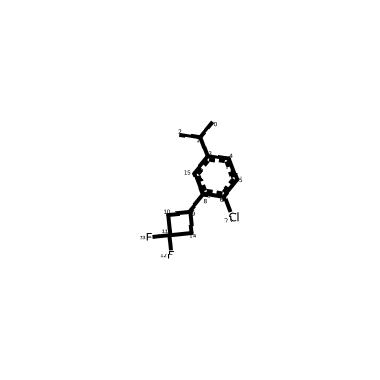 CC(C)c1ccc(Cl)c(C2CC(F)(F)C2)c1